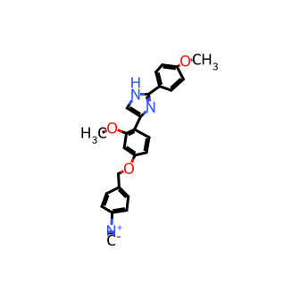 [C-]#[N+]c1ccc(COc2ccc(-c3c[nH]c(-c4ccc(OC)cc4)n3)c(OC)c2)cc1